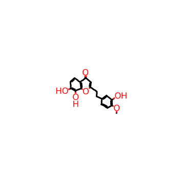 COc1ccc(CCc2cc(=O)c3ccc(O)c(O)c3o2)cc1O